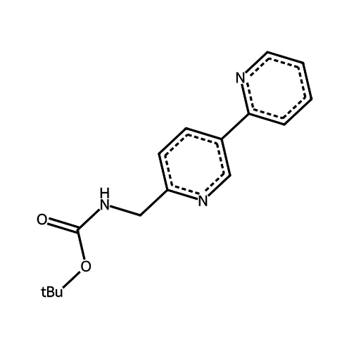 CC(C)(C)OC(=O)NCc1ccc(-c2ccccn2)cn1